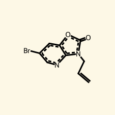 C=CCn1c(=O)oc2cc(Br)cnc21